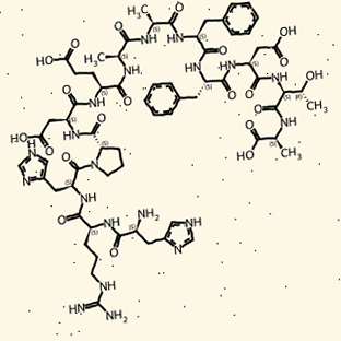 C[C@H](NC(=O)[C@@H](NC(=O)[C@H](CC(=O)O)NC(=O)[C@H](Cc1ccccc1)NC(=O)[C@H](Cc1ccccc1)NC(=O)[C@H](C)NC(=O)[C@H](C)NC(=O)[C@H](CCC(=O)O)NC(=O)[C@H](CC(=O)O)NC(=O)[C@@H]1CCCN1C(=O)[C@H](Cc1c[nH]cn1)NC(=O)[C@H](CCCNC(=N)N)NC(=O)[C@@H](N)Cc1c[nH]cn1)[C@@H](C)O)C(=O)O